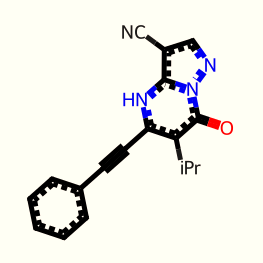 CC(C)c1c(C#Cc2ccccc2)[nH]c2c(C#N)cnn2c1=O